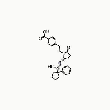 O=C(O)c1ccc(CCN2C(=O)CC[C@@H]2/C=C/[C@@H](O)C2(c3ccccc3)CCCC2)cc1